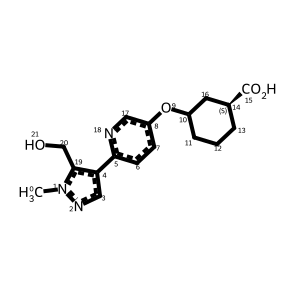 Cn1ncc(-c2ccc(OC3CCC[C@H](C(=O)O)C3)cn2)c1CO